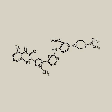 CCc1cccc(CC)c1NC(=O)Oc1cc(-c2ccnc(Nc3ccc(N4CCC(N(C)C)CC4)cc3OC)n2)n(C)c1